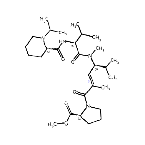 COC(=O)[C@@H]1CCCN1C(=O)/C(C)=C/[C@H](C(C)C)N(C)C(=O)[C@@H](NC(=O)[C@H]1CCCCN1C(C)C)C(C)C